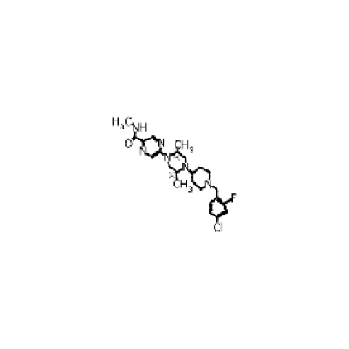 CNC(=O)c1cnc(N2C[C@H](C)N(C3CCN(Cc4ccc(Cl)cc4F)CC3)C[C@H]2C)cn1